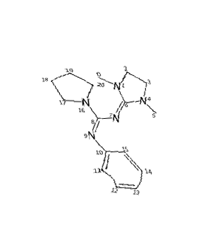 CN1CCN(C)C1=NC(=Nc1ccccc1)N1CCCC1